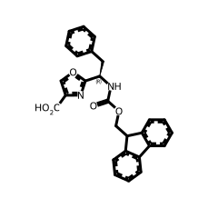 O=C(N[C@H](Cc1ccccc1)c1nc(C(=O)O)co1)OCC1c2ccccc2-c2ccccc21